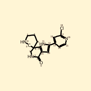 O=C1NCC2(CCCNC2)c2[nH]c(-c3ccnc(Cl)c3)cc21